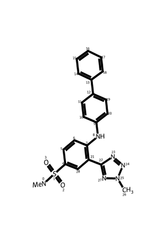 CNS(=O)(=O)c1ccc(Nc2ccc(-c3ccccc3)cc2)c(-c2nnn(C)n2)c1